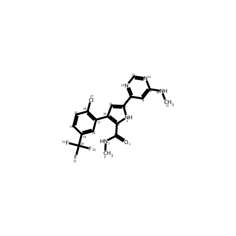 CNC(=O)c1[nH]c(-c2cc(NC)ncn2)cc1-c1cc(C(F)(F)F)ccc1Cl